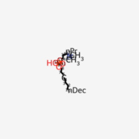 CCCCCCCCCCCCCCCCCCOP(=O)(O)OCCC(CCC)N(C)C